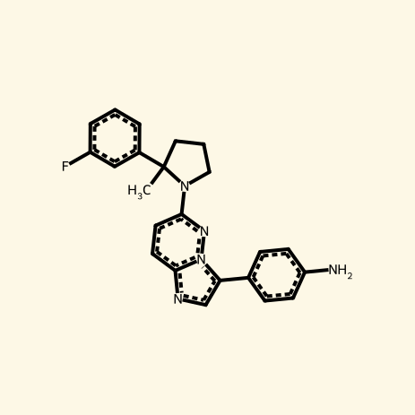 CC1(c2cccc(F)c2)CCCN1c1ccc2ncc(-c3ccc(N)cc3)n2n1